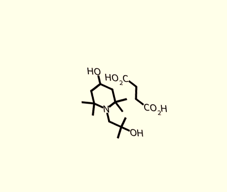 CC(C)(O)CN1C(C)(C)CC(O)CC1(C)C.O=C(O)CCC(=O)O